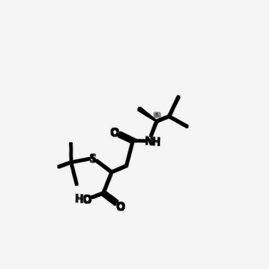 CC(C)[C@H](C)NC(=O)CC(SC(C)(C)C)C(=O)O